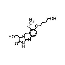 COc1c(OCCCCO)ccc2c1CN1C(=N2)NC(=O)C1CO